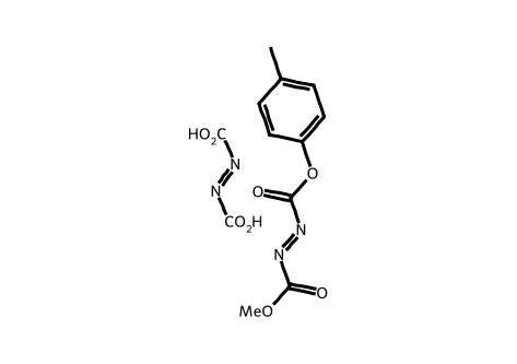 COC(=O)N=NC(=O)Oc1ccc(C)cc1.O=C(O)N=NC(=O)O